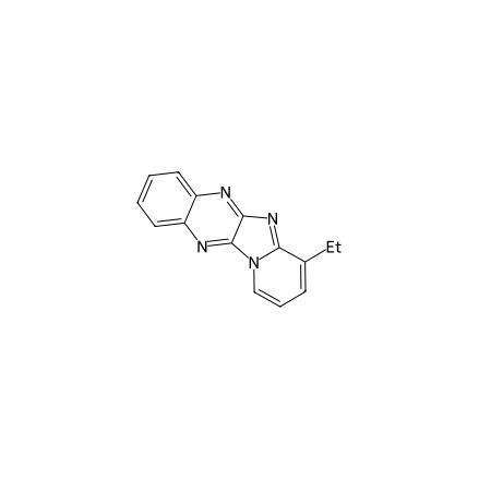 CCc1cccn2c1nc1nc3ccccc3nc12